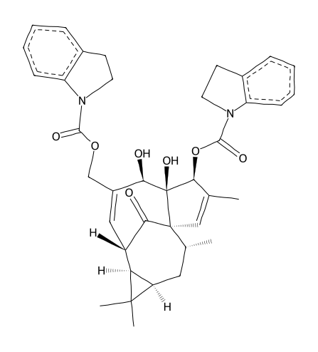 CC1=C[C@]23C(=O)[C@@H](C=C(COC(=O)N4CCc5ccccc54)[C@@H](O)[C@]2(O)[C@H]1OC(=O)N1CCc2ccccc21)[C@H]1[C@@H](C[C@H]3C)C1(C)C